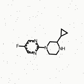 Fc1cnc(N2CCNC(C3CC3)C2)nc1